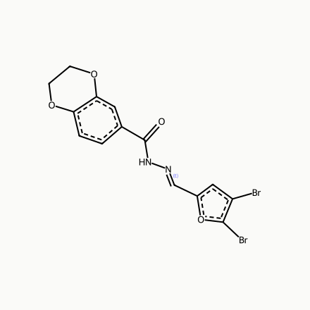 O=C(N/N=C/c1cc(Br)c(Br)o1)c1ccc2c(c1)OCCO2